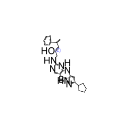 C=C(/C=C(\O)CNc1ncc(Br)c(Nc2cc(C3CCCC3)n[nH]2)n1)c1ccccc1